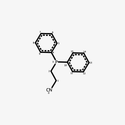 [C-]#[N+]CCP(c1ccccc1)c1ccccc1